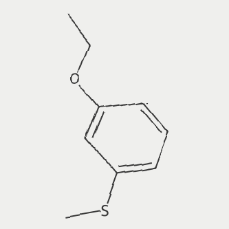 CCOc1[c]ccc(SC)c1